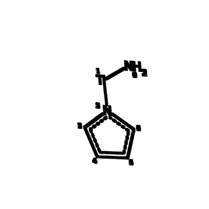 [NH2][Ti][n]1cccc1